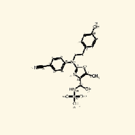 Cc1sc(N(CCc2ccc(O)cc2)c2ccc(C#N)cc2)nc1C(O)NS(C)(=O)=O